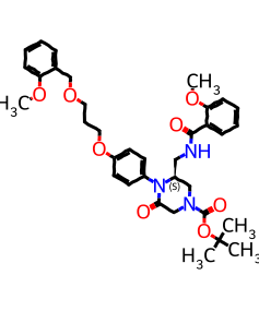 COc1ccccc1COCCCOc1ccc(N2C(=O)CN(C(=O)OC(C)(C)C)C[C@@H]2CNC(=O)c2ccccc2OC)cc1